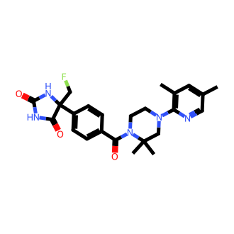 Cc1cnc(N2CCN(C(=O)c3ccc(C4(CF)NC(=O)NC4=O)cc3)C(C)(C)C2)c(C)c1